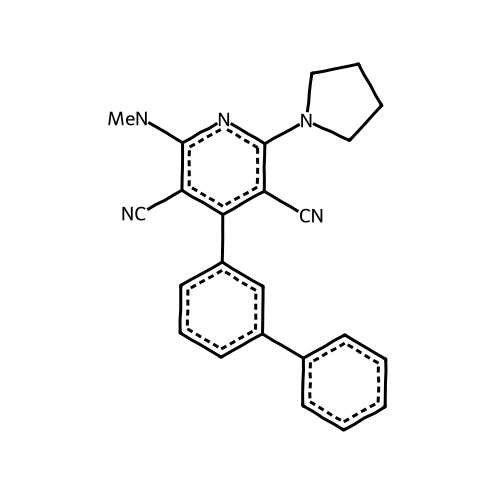 CNc1nc(N2CCCC2)c(C#N)c(-c2cccc(-c3ccccc3)c2)c1C#N